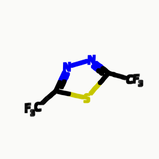 FC(F)(F)c1nnc(C(F)(F)F)s1